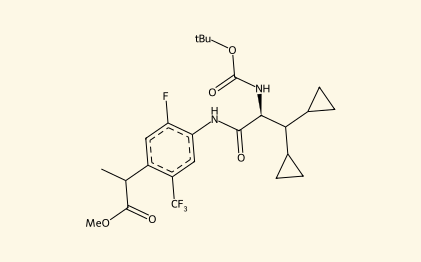 COC(=O)C(C)c1cc(F)c(NC(=O)[C@@H](NC(=O)OC(C)(C)C)C(C2CC2)C2CC2)cc1C(F)(F)F